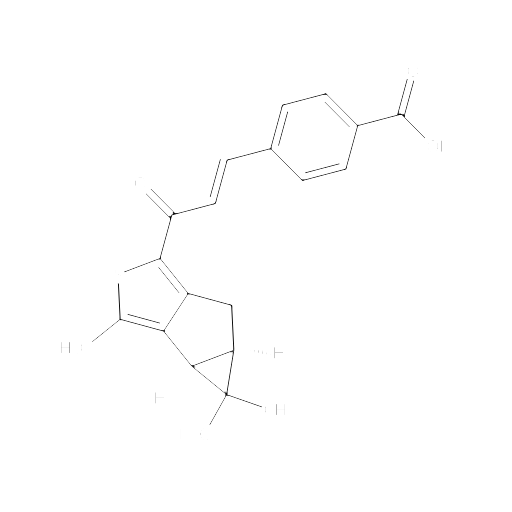 Cc1sc(C(=O)/C=C/c2ccc(C(=O)O)cc2)c2c1[C@H]1[C@@H](C2)C1(C)C